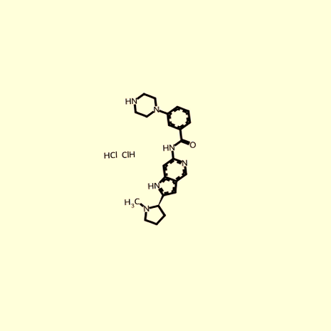 CN1CCC[C@@H]1c1cc2cnc(NC(=O)c3cccc(N4CCNCC4)c3)cc2[nH]1.Cl.Cl